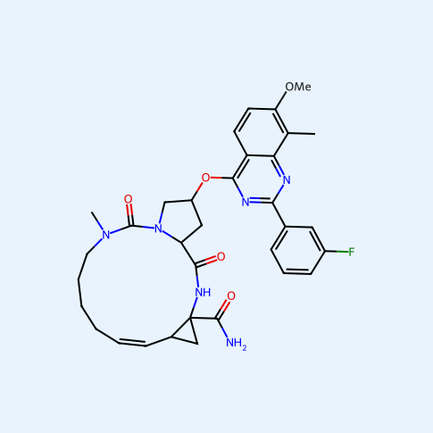 COc1ccc2c(OC3CC4C(=O)NC5(C(N)=O)CC5C=CCCCCN(C)C(=O)N4C3)nc(-c3cccc(F)c3)nc2c1C